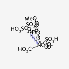 CC[N+]1=C(/C=C/C=C/C=C/C=C2/N(CCCCCC(=O)O)c3ccc4c(S(=O)(=O)[O-])cc(S(=O)(=O)O)cc4c3C2(C)CCOCCOCCOCCOCCOC)C(C)(C)c2c1ccc1c(S(=O)(=O)O)cc(S(=O)(=O)O)cc21